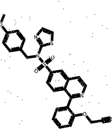 COc1ccc(CN(c2nccs2)S(=O)(=O)c2ccc3c(-c4ccccc4OCC#N)nccc3c2)cc1